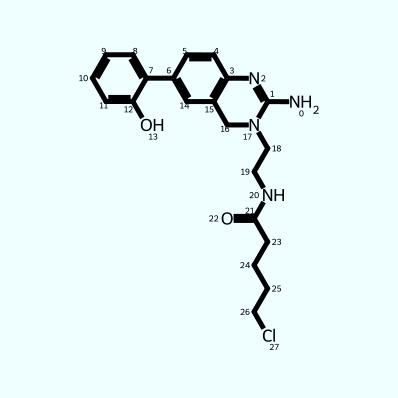 NC1=Nc2ccc(-c3ccccc3O)cc2CN1CCNC(=O)CCCCCl